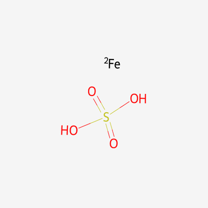 O=S(=O)(O)O.[2Fe]